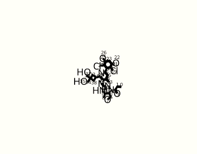 C=CC(=O)N[C@H]1COC[C@H]1Nc1ncc2cc(-c3c(Cl)c(OC)cc(OC)c3Cl)nc(C3CC(CO)(CO)C3)c2n1